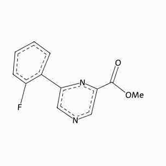 COC(=O)c1cncc(-c2ccccc2F)n1